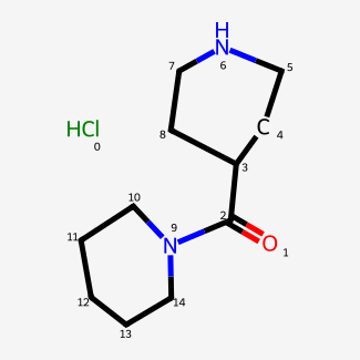 Cl.O=C(C1CCNCC1)N1CCCCC1